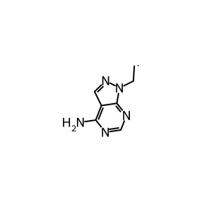 [CH2]Cn1ncc2c(N)ncnc21